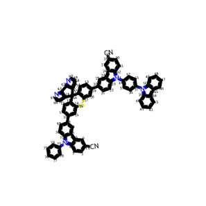 N#Cc1ccc2c(c1)c1cc(-c3ccc4c(c3)Sc3cc(-c5ccc6c(c5)c5cc(C#N)ccc5n6-c5ccc(-n6c7ccccc7c7ccccc76)cc5)ccc3C43c4cccnc4-c4ncccc43)ccc1n2-c1ccccc1